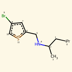 CC(C)CC(C)NCc1cc(Br)cs1